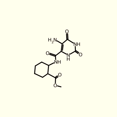 COC(=O)C1CCCCC1NC(=O)c1[nH]c(=O)[nH]c(=O)c1N